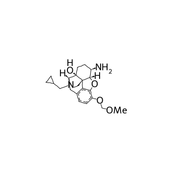 COCOc1ccc2c3c1O[C@H]1[C@H](N)CC[C@@]4(O)[C@@H](C2)N(CC2CC2)CC[C@]314